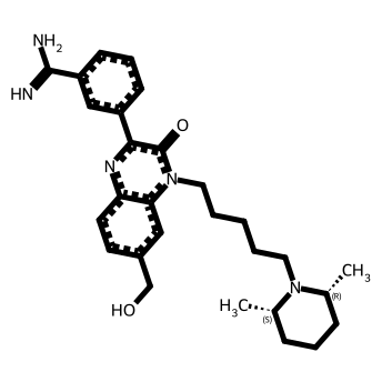 C[C@@H]1CCC[C@H](C)N1CCCCCn1c(=O)c(-c2cccc(C(=N)N)c2)nc2ccc(CO)cc21